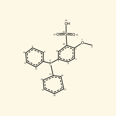 COc1ccc(P(c2ccccc2)c2ccccc2)cc1S(=O)(=O)O